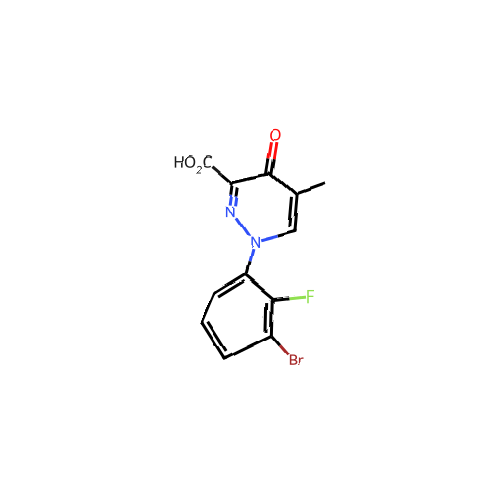 Cc1cn(-c2cccc(Br)c2F)nc(C(=O)O)c1=O